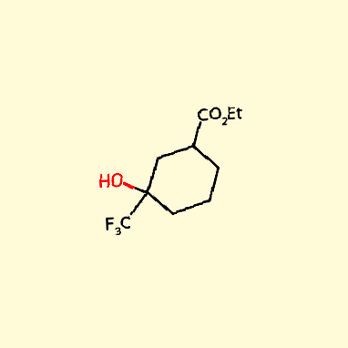 CCOC(=O)C1CCCC(O)(C(F)(F)F)C1